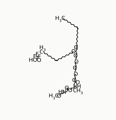 CCCCCCCC/C=C\CCCCCCCCOCC(COCCOCCOCCOCCOC(=O)CNC(C)COC(=O)CNCCOC)OCCCCCCCC/C=C\CCCCCCCC.O=C(O)C(F)(F)F